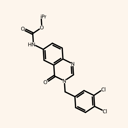 CC(C)OC(=O)Nc1ccc2ncn(Cc3ccc(Cl)c(Cl)c3)c(=O)c2c1